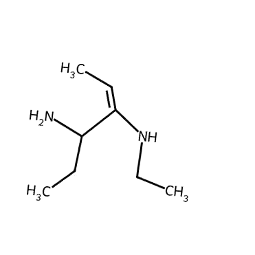 C/C=C(/NCC)C(N)CC